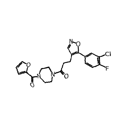 O=C(CCc1cnoc1-c1ccc(F)c(Cl)c1)N1CCN(C(=O)c2ccco2)CC1